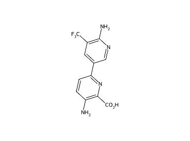 Nc1ccc(-c2cnc(N)c(C(F)(F)F)c2)nc1C(=O)O